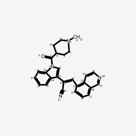 CN1CCC(C(=O)n2cc(/C(C#N)=C/c3cccc4cnccc34)c3ccccc32)CC1